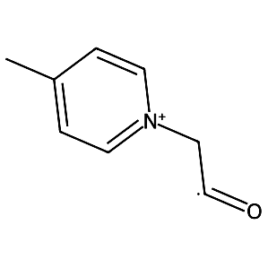 Cc1cc[n+](C[C]=O)cc1